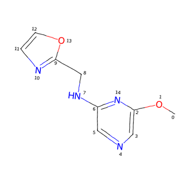 COc1cncc(NCc2ncco2)n1